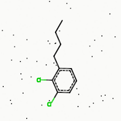 CCCCc1cccc(Cl)c1Cl